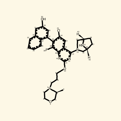 C[C@H]1COCCN1CCCOc1nc(N2C[C@H]3CC[C@@H](C2)N3)c2cc(Cl)c(-c3cc(O)cc4ccccc34)c(F)c2n1